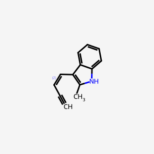 C#C/C=C\c1c(C)[nH]c2ccccc12